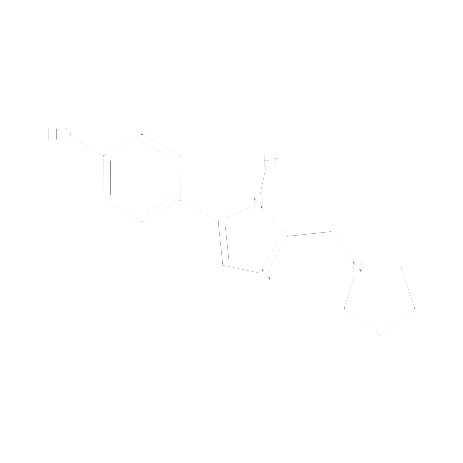 CCn1c(-c2ccc(O)cc2)cnc1CN1CCCC1